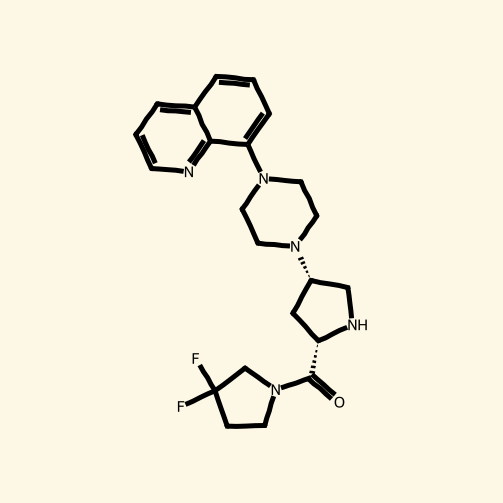 O=C([C@@H]1C[C@H](N2CCN(c3cccc4cccnc34)CC2)CN1)N1CCC(F)(F)C1